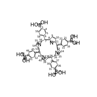 OB(O)c1ccc(C2=C3C=CC(=N3)C(c3ccc(B(O)O)cc3)=C3C=CC(=N3)C(c3ccc(B(O)O)cc3)=C3C=CC(=N3)C(c3ccc(B(O)O)cc3)=C3C=CC2=N3)cc1